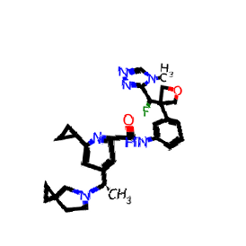 C[C@@H](c1cc(C(=O)Nc2cccc(C3(C(F)c4nncn4C)COC3)c2)nc(C2CC2)c1)N1CCC2(CC2)C1